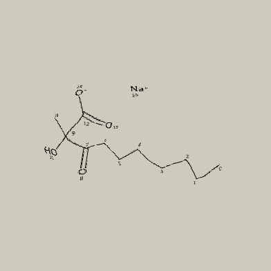 CCCCCCCC(=O)C(C)(O)C(=O)[O-].[Na+]